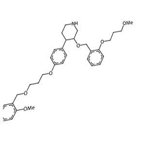 COCCCOc1ccccc1COC1CNCCC1c1ccc(OCCCOCc2ccccc2OC)cc1